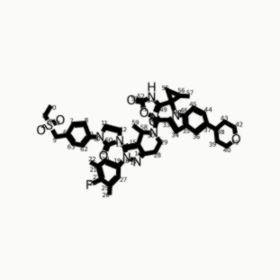 CCS(=O)(=O)Cc1ccc(-n2ccn(-c3c4c(nn3-c3cc(C)c(F)c(C)c3)CCN(C(=O)c3cc5cc(C6CCOCC6)ccc5n3C3(c5noc(=O)[nH]5)CC3C)C4C)c2=O)cc1